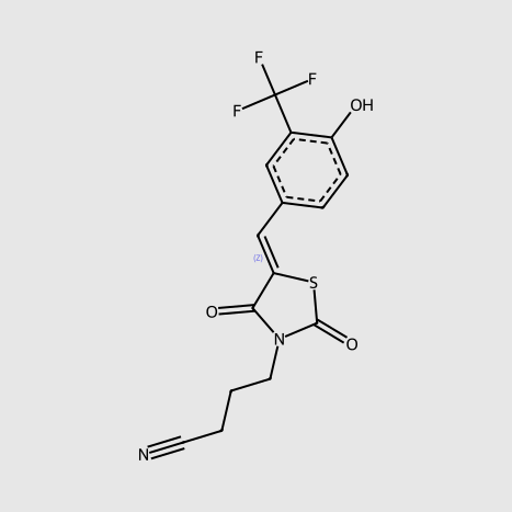 N#CCCCN1C(=O)S/C(=C\c2ccc(O)c(C(F)(F)F)c2)C1=O